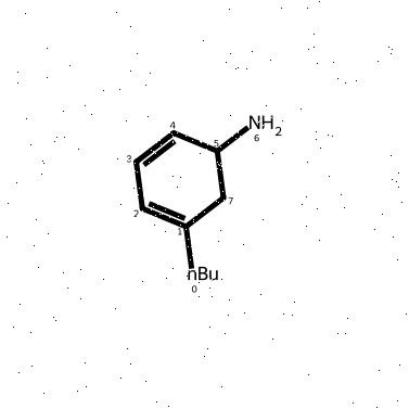 CCCCC1=CC=CC(N)C1